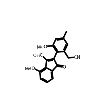 COc1cc(C)cc(CC#N)c1C1=C(C=O)c2c(OC)cccc2C1=O